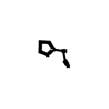 N#CBn1cccn1